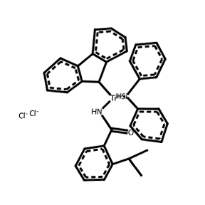 CC(C)c1ccccc1C(=O)[NH][Ti+2]([CH]1c2ccccc2-c2ccccc21)[SiH](c1ccccc1)c1ccccc1.[Cl-].[Cl-]